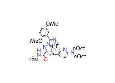 CCCCCCCCN(CCCCCCCC)c1ccc(/C=c2/c(C(=O)NCCCC)nn3c(-c4cc(OC)ccc4OC)nnc23)c(C)n1